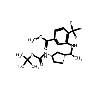 COC(=O)c1ccc(C(F)(F)F)c(N[C@@H](C)[C@@H]2CC[C@H](NC(=O)OC(C)(C)C)C2)c1